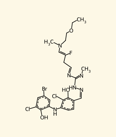 CCOCCN(C)/C=C(\F)C/C=N/C(=N\C)N/N=C\c1ccc(Nc2cc(Br)cc(Cl)c2O)c(Cl)c1O